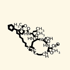 CC(=O)N1CCC[C@H]1C(=O)N[C@@H](CC(C)C)C(=O)N[C@H]1Cc2c[n+](cn2CCCCCCCCc2ccccc2)CCCCNC(=O)[C@H]([C@@H](C)OP=O)NC(=O)[C@H](CO)NC1=O